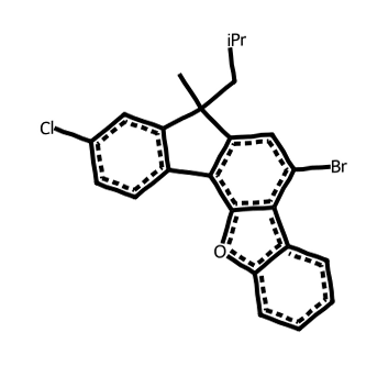 CC(C)CC1(C)c2cc(Cl)ccc2-c2c1cc(Br)c1c2oc2ccccc21